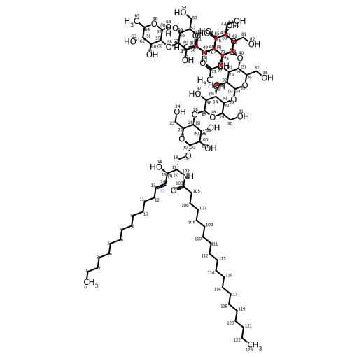 CCCCCCCCCCCCC/C=C/[C@@H](O)[C@H](CO[C@@H]1OC(CO)[C@@H](O[C@@H]2OC(CO)[C@H](O[C@@H]3OC(CO)[C@H](O[C@@H]4OC(CO)[C@H](O)[C@H](O[C@@H]5OC(CO)[C@H](O)[C@H](O[C@H]6C(O)[C@H](O)C(C)O[C@H]6O)C5O)C4NC(C)=O)[C@H](O[C@@H]4OC(CO)[C@H](O)[C@H](O)C4NC(C)=O)C3O)[C@H](O)C2O)[C@H](O)C1O)NC(=O)CCCCCCCCCCCCCCCCCCC